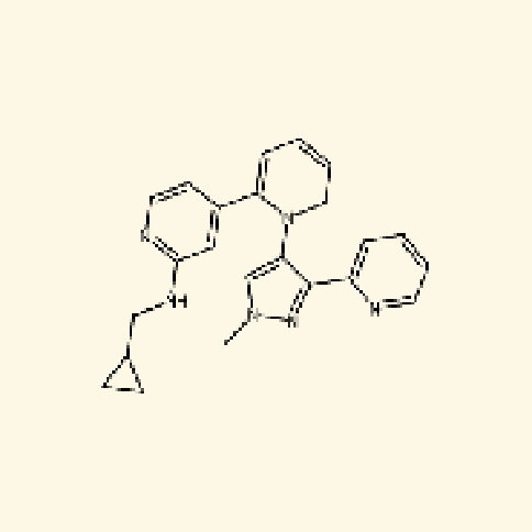 Cn1cc(N2CC=CC=C2c2ccnc(NCC3CC3)c2)c(-c2ccccn2)n1